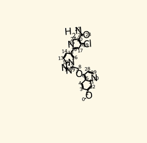 COc1ccc2c(OCc3nnc4ccc(-c5cc(Cl)c(C(N)=O)cn5)cn34)ccnc2c1